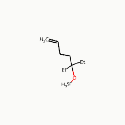 C=CCCC(CC)(CC)O[SiH3]